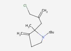 C=C(CCl)CC1(C)C(=C)CCN1C(C)(C)C